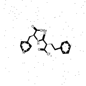 COC(=O)[C@H](Cc1ccncc1)NC(=O)[C@H](CCc1ccccc1)C(=O)C(F)(F)F